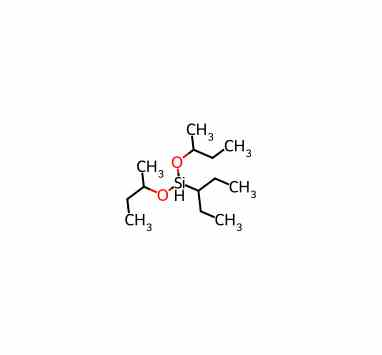 CCC(C)O[SiH](OC(C)CC)C(CC)CC